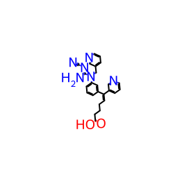 N#CN=C(N)N(Cc1cccnc1)c1cccc(/C(=C\CCCC(=O)O)c2cccnc2)c1